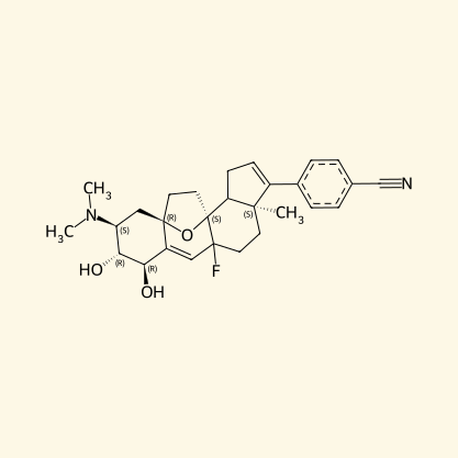 CN(C)[C@H]1C[C@@]23CC[C@]4(O2)C2CC=C(c5ccc(C#N)cc5)[C@@]2(C)CCC4(F)C=C3[C@@H](O)[C@@H]1O